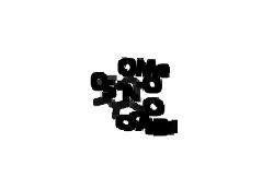 C=C1C(COC(C)=O)=C(C(=O)OC(C)(C)C)N2C(=O)C(OC)C2[S+]1[O-]